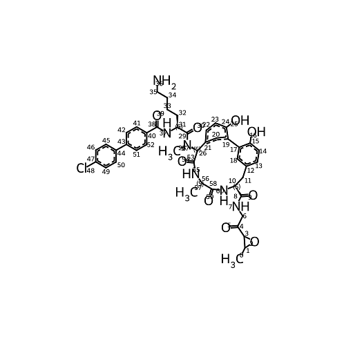 CC1OC1C(=O)CNC(=O)[C@@H]1Cc2ccc(O)c(c2)-c2cc(ccc2O)[C@H](N(C)C(=O)[C@H](CCCCN)NC(=O)c2ccc(-c3ccc(Cl)cc3)cc2)C(=O)N[C@@H](C)C(=O)N1